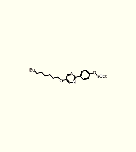 CCCCCCCCOc1ccc(-c2ncc(OCCCCCCC(C)CC)cn2)cc1